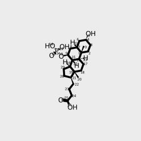 C[C@]12CC[C@@H](O)C[C@H]1C[C@H](OP(=O)(O)O)[C@@H]1[C@@H]2CC[C@]2(C)[C@@H](CCCC(=O)O)CC[C@@H]12